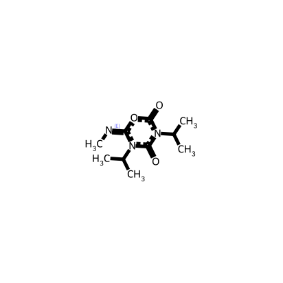 C/N=c1/oc(=O)n(C(C)C)c(=O)n1C(C)C